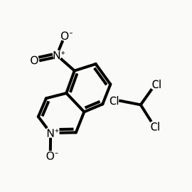 ClC(Cl)Cl.O=[N+]([O-])c1cccc2c[n+]([O-])ccc12